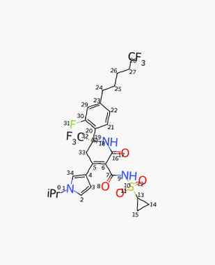 CC(C)n1ccc(C2=C(C(=O)NS(=O)(=O)C3CC3)C(=O)N[C@@](c3ccc(CCCCC(F)(F)F)cc3F)(C(F)(F)F)C2)c1